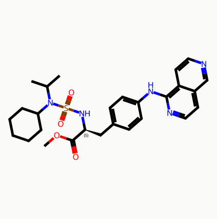 COC(=O)[C@H](Cc1ccc(Nc2nccc3cnccc23)cc1)NS(=O)(=O)N(C(C)C)C1CCCCC1